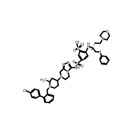 CC1CC(N2CCn3c(nnc3NS(=O)(=O)c3ccc(N[C@H](CCN4CCOCC4)CSc4ccccc4)c(S(=O)(=O)C(F)(F)F)c3)C2)CCN1Cc1ccccc1-c1ccc(Cl)cc1